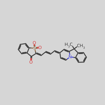 CC1(C)C2=C/C(=C/C=C/C=C3/C(=O)c4ccccc4S3(=O)=O)C=CN2c2ccccc21